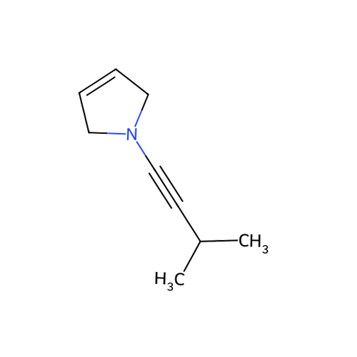 CC(C)C#CN1CC=CC1